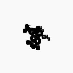 CC1=C(c2ccc([N+](=O)[O-])cc2)[B-](c2ccc([N+](=O)[O-])cc2)(c2ccc([N+](=O)[O-])cc2)[N+](C)(C)CC1